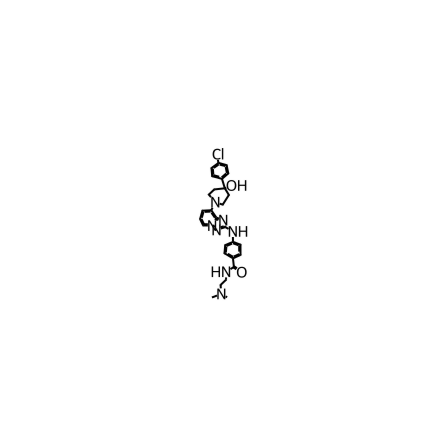 CN(C)CCNC(=O)c1ccc(Nc2nc3c(N4CCC(O)(c5ccc(Cl)cc5)CC4)cccn3n2)cc1